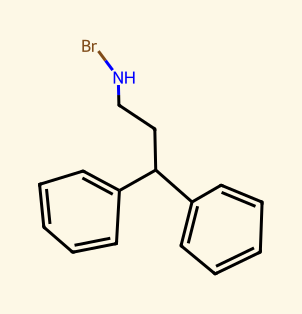 BrNCCC(c1ccccc1)c1ccccc1